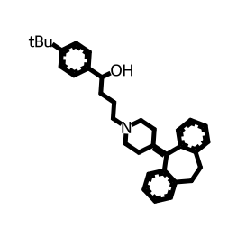 CC(C)(C)c1ccc(C(O)CCCN2CCC(=C3c4ccccc4CCc4ccccc43)CC2)cc1